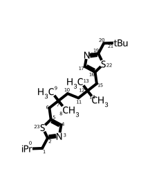 CC(C)Cc1ncc(CC(C)(C)CCC(C)(C)Cc2cnc(CC(C)(C)C)s2)s1